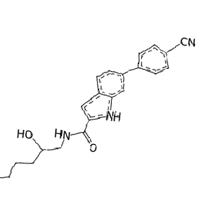 N#Cc1ccc(-c2ccc3cc(C(=O)NCC(O)CCCO)[nH]c3c2)cc1